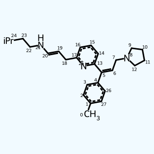 Cc1ccc(C(=CCN2CCCC2)c2cccc(CC=CNCCC(C)C)n2)cc1